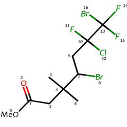 COC(=O)CC(C)(C)C(Br)CC(F)(Cl)C(F)(F)Br